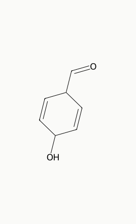 O=CC1C=CC(O)C=C1